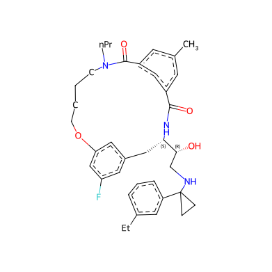 CCCN1CCCCOc2cc(F)cc(c2)C[C@@H]([C@H](O)CNC2(c3cccc(CC)c3)CC2)NC(=O)c2cc(C)cc(c2)C1=O